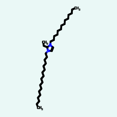 CCCCCCCCCCCCCCCCCCN1C=CN(CCCCCCCCCCCCCC)C1CC